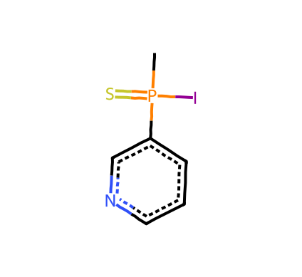 CP(=S)(I)c1cccnc1